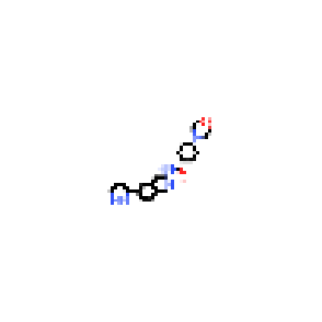 O=C(Nc1cc2cc(-c3cccnn3)ccc2cn1)[C@H]1CC[C@H](N2CCOCC2)CC1